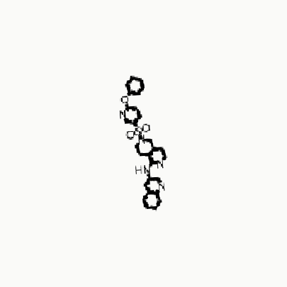 O=S(=O)(c1ccc(Oc2ccccc2)nc1)N1CCc2c(ccnc2Nc2cnc3ccccc3c2)C1